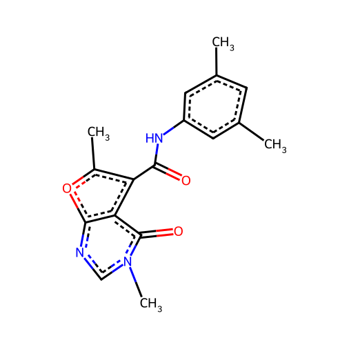 Cc1cc(C)cc(NC(=O)c2c(C)oc3ncn(C)c(=O)c23)c1